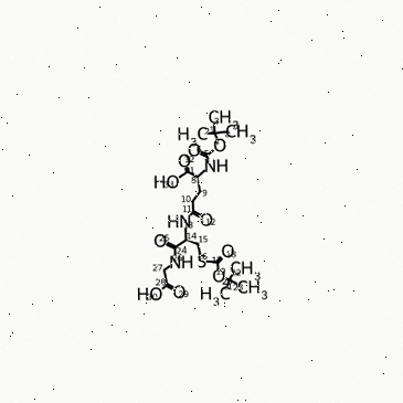 CC(C)(C)OC(=O)N[C@@H](CCC(=O)N[C@@H](CSC(=O)OC(C)(C)C)C(=O)NCC(=O)O)C(=O)O